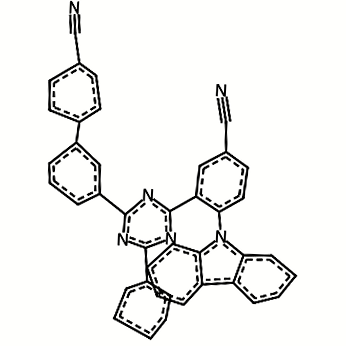 N#Cc1ccc(-c2cccc(-c3nc(-c4ccccc4)nc(-c4cc(C#N)ccc4-n4c5ccccc5c5ccccc54)n3)c2)cc1